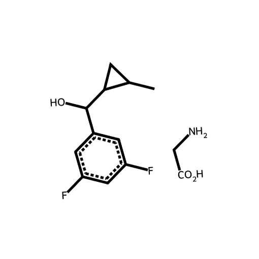 CC1CC1C(O)c1cc(F)cc(F)c1.NCC(=O)O